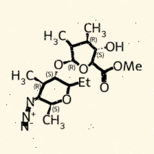 CCC1O[C@@H](C)C(N=[N+]=[N-])[C@@H](C)[C@@H]1O[C@@H]1OC(C(=O)OC)[C@@H](O)[C@H](C)C1C